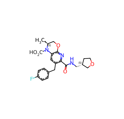 C[C@H]1COc2nc(C(=O)NC[C@@H]3CCOC3)c(Cc3ccc(F)cc3)cc2N1C(=O)O